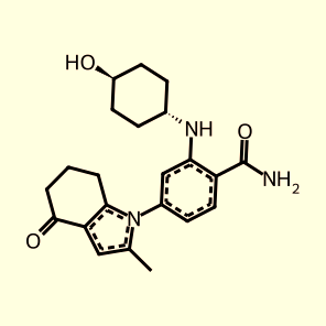 Cc1cc2c(n1-c1ccc(C(N)=O)c(N[C@H]3CC[C@H](O)CC3)c1)CCCC2=O